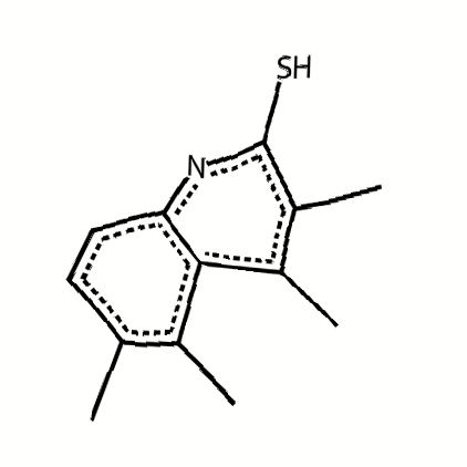 Cc1ccc2nc(S)c(C)c(C)c2c1C